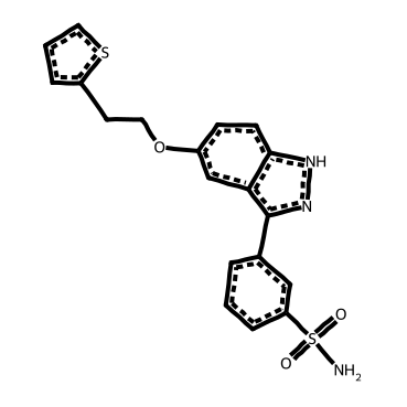 NS(=O)(=O)c1cccc(-c2n[nH]c3ccc(OCCc4cccs4)cc23)c1